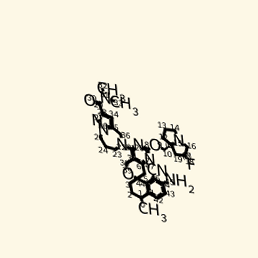 CC1CCC2(Cc3nc(OC[C@@]45CCCN4C[C@H](F)C5)nc(N4CCCn5nc(C(=O)N(C)C)cc5C4)c3CO2)c2c1ccc(N)c2C#N